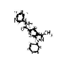 Cc1nn(C2CCCCC2)c2sc(C(=O)Nc3cccnc3)cc12